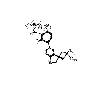 CN(C)C(=O)c1c(N)ccc(-c2cnc3c(c2)C2(CN3)CC(C)(O)C2)c1F